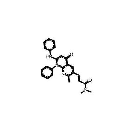 Cc1nc2c(cc1/C=C/C(=O)N(C)C)c(=O)cc(Nc1ccccc1)n2-c1ccccc1